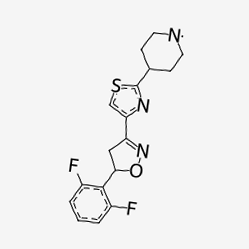 Fc1cccc(F)c1C1CC(c2csc(C3CC[N]CC3)n2)=NO1